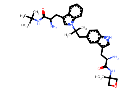 CC(C)(NC(=O)C(N)Cc1cn(C(C)(C)Cc2ccc3[nH]cc(C[C@@H](N)C(=O)NC4(C(=O)O)COC4)c3c2)c2ccccc12)C(=O)O